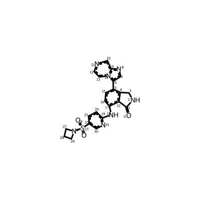 O=C1NCc2c(-c3cnc4cnccn34)ccc(Nc3ccc(S(=O)(=O)N4CCC4)cn3)c21